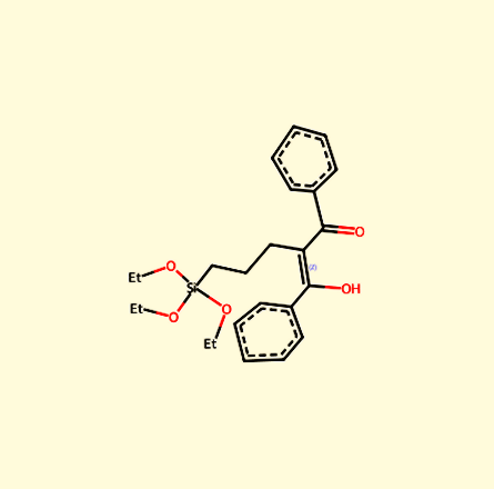 CCO[Si](CCC/C(C(=O)c1ccccc1)=C(/O)c1ccccc1)(OCC)OCC